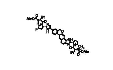 COC(=O)NC(C(=O)N1C[C@@H](F)C[C@H]1c1ncc(-c2ccc3c(c2)COc2cc4c(ccc5nc([C@@H]6CC[C@H](C)N6C(=O)[C@@H](NC(=O)OC)C(C)C)[nH]c54)cc2-3)[nH]1)C(C)C